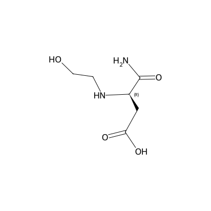 NC(=O)[C@@H](CC(=O)O)NCCO